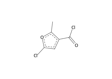 Cc1oc(Cl)cc1C(=O)Cl